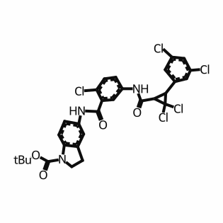 CC(C)(C)OC(=O)N1CCc2cc(NC(=O)c3cc(NC(=O)C4C(c5cc(Cl)cc(Cl)c5)C4(Cl)Cl)ccc3Cl)ccc21